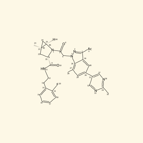 CC(=O)c1nn(CC(=O)N2[C@H](C(=O)NCCc3ccccc3F)C[C@@]3(C)C[C@@H]23)c2c(C)cc(-c3cnc(C)nc3)cc12